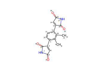 Cc1c(C2=CC(=O)NC2=O)ccc(C2=CC(=O)NC2=O)c1C